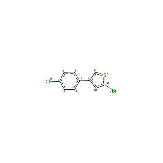 Clc1ccc(-c2[c]sc(Br)c2)cc1